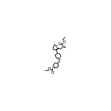 CCOC(=O)N(C)CC1=C(C2CCN(CC3CCN(C(=O)OCC)CC3)CC2)CCCC1